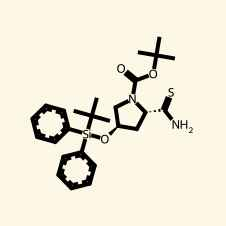 CC(C)(C)OC(=O)N1C[C@H](O[Si](c2ccccc2)(c2ccccc2)C(C)(C)C)C[C@H]1C(N)=S